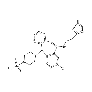 CS(=O)(=O)N1CCC(C2c3ccc(Cl)cc3C(NCCc3c[nH]cn3)=Cc3cccnc32)CC1